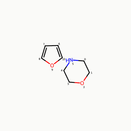 C1COCCN1.c1ccoc1